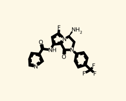 N[C@H]1CN(c2ccc(C(F)(F)F)cc2)C(=O)c2c(NC(=O)c3cccnc3)cc(F)n21